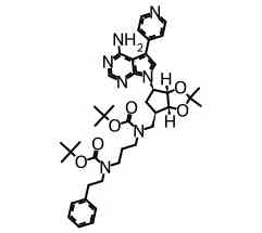 CC(C)(C)OC(=O)N(CCCN(C[C@H]1C[C@@H](n2cc(-c3ccncc3)c3c(N)ncnc32)[C@@H]2OC(C)(C)O[C@H]12)C(=O)OC(C)(C)C)CCc1ccccc1